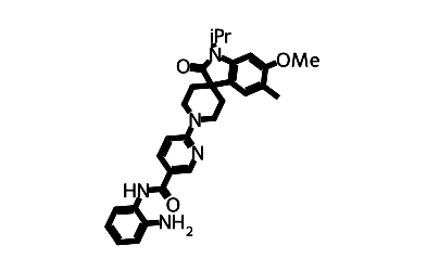 COc1cc2c(cc1C)C1(CCN(c3ccc(C(=O)Nc4ccccc4N)cn3)CC1)C(=O)N2C(C)C